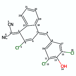 N#CC(C#N)=c1c(Cl)c/c(=C\c2cc(Cl)c(O)c(Cl)c2)c2ccccc12